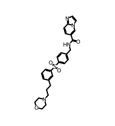 O=C(NCc1ccc(S(=O)(=O)c2cccc(CCCN3CCOCC3)c2)cc1)c1ccc2nccn2c1